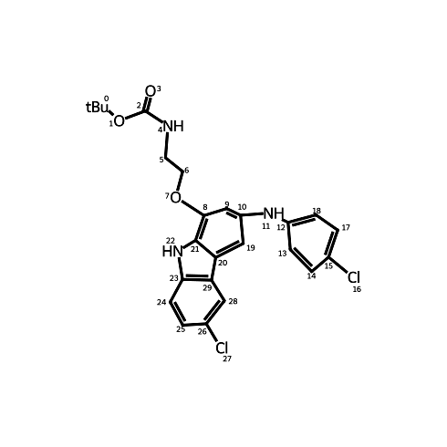 CC(C)(C)OC(=O)NCCOc1cc(Nc2ccc(Cl)cc2)cc2c1[nH]c1ccc(Cl)cc12